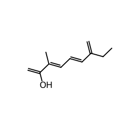 C=C(/C=C/C=C(\C)C(=C)O)CC